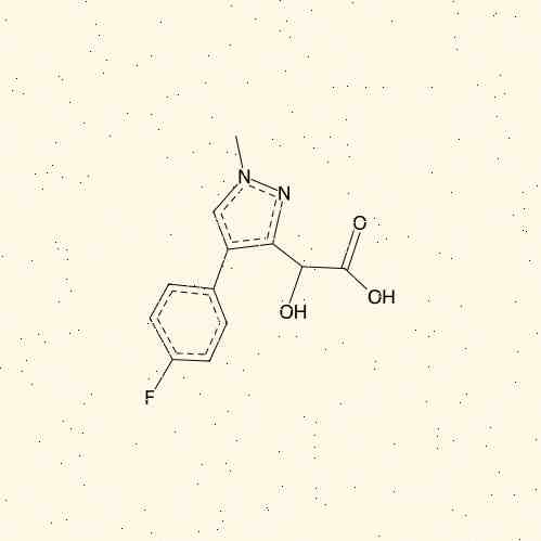 Cn1cc(-c2ccc(F)cc2)c(C(O)C(=O)O)n1